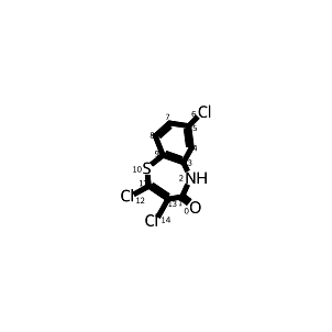 O=C1Nc2cc(Cl)ccc2SC(Cl)=C1Cl